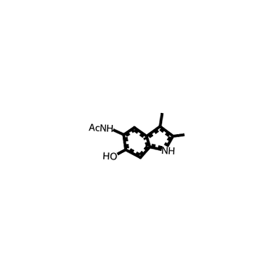 CC(=O)Nc1cc2c(C)c(C)[nH]c2cc1O